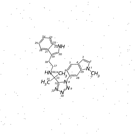 Cn1ccc2ccc(-n3nnnc3C(C)(C)NCCc3c[nH]c4ccccc34)cc21